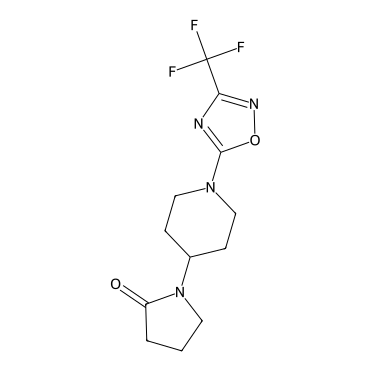 O=C1CCCN1C1CCN(c2nc(C(F)(F)F)no2)CC1